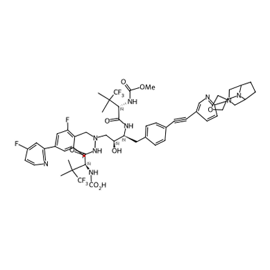 COC(=O)N[C@H](C(=O)N[C@@H](Cc1ccc(C#Cc2ccc(N3CC4CCC(C3)N4C3COC3)nc2)cc1)[C@@H](O)CN(Cc1c(F)cc(-c2cc(F)ccn2)cc1F)NC(=O)[C@@H](NC(=O)O)C(C)(C)C(F)(F)F)C(C)(C)C(F)(F)F